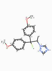 CC(n1cncn1)C(F)(c1ccc(OC(F)(F)F)cc1)c1ccc(OC(F)(F)F)cc1